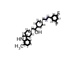 Cc1cccc2c1NCC21CCN(CC(O)C2CCN(C/C=C/c3cc(F)cc(F)c3)CC2)CC1